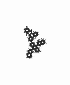 c1ccc(-c2nc3ccccc3nc2-c2ccc(-c3ccc4c(-c5ccc6ccccc6c5)c5ccccc5c(-c5ccc6ccccc6c5)c4c3)cc2)cc1